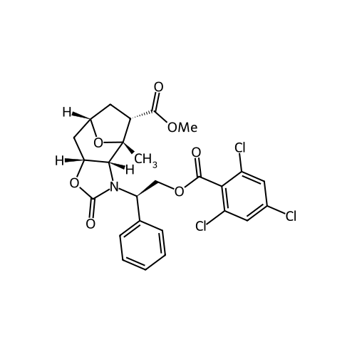 COC(=O)[C@H]1C[C@H]2C[C@H]3OC(=O)N([C@@H](COC(=O)c4c(Cl)cc(Cl)cc4Cl)c4ccccc4)[C@H]3[C@]1(C)O2